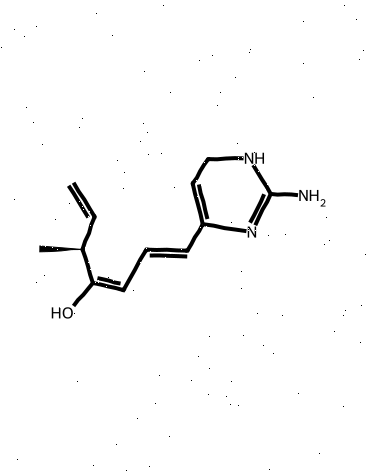 C=C[C@H](C)/C(O)=C\C=C\C1=CCNC(N)=N1